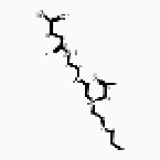 CCCOCCN(CCOCCNC(=O)CCC(=O)O)CC(C)=O